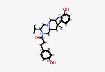 CC(C)[C@H]1CN2CC(C)[C@](C)(c3cccc(O)c3)CC2CN1C(=O)CCc1ccc(O)cc1